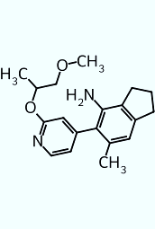 COCC(C)Oc1cc(-c2c(C)cc3c(c2N)CCC3)ccn1